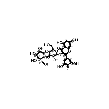 O=c1c(O[C@@H]2O[C@H](CO)[C@@H](O[C@@H]3O[C@H](CO)[C@H](O)[C@H](O)[C@H]3O)[C@H](O)[C@H]2O)c(-c2cc(O)c(O)c(O)c2)oc2cc(O)cc(O)c12